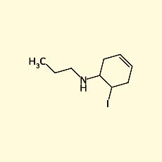 CCCNC1CC=CCC1I